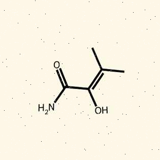 CC(C)=C(O)C(N)=O